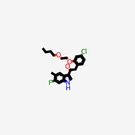 CCCCOCCOc1cc(Cl)ccc1CC(=O)c1c[nH]c2cc(F)c(C)cc12